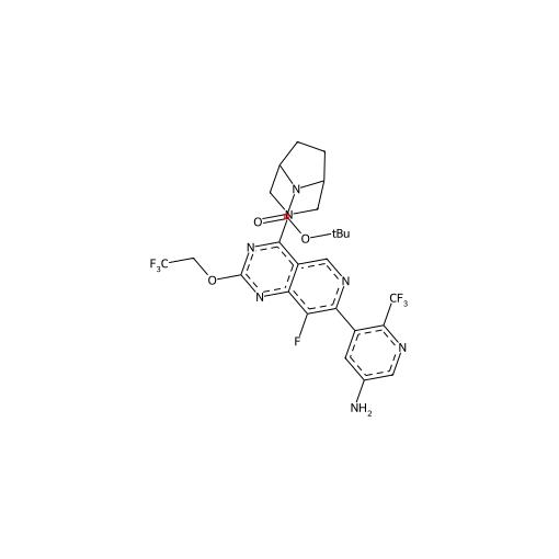 CC(C)(C)OC(=O)N1C2CCC1CN(c1nc(OCC(F)(F)F)nc3c(F)c(-c4cc(N)cnc4C(F)(F)F)ncc13)C2